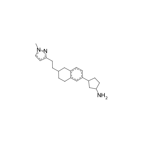 Cn1ccc(CCC2CCc3cc(C4CCC(N)C4)ccc3C2)n1